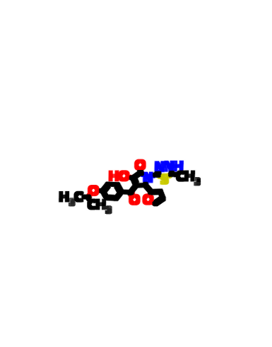 CC(C)Oc1ccc(C(=O)C2=C(O)C(=O)N(C3=NNC(C)S3)C2c2ccco2)cc1